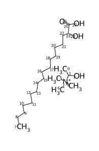 CC(O)[N+](C)(C)C.CCCCCCCCCCCCCCCCC(O)C(=O)O